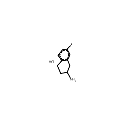 Cl.NC1CCc2ccc(F)cc2C1